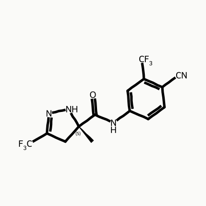 C[C@@]1(C(=O)Nc2ccc(C#N)c(C(F)(F)F)c2)CC(C(F)(F)F)=NN1